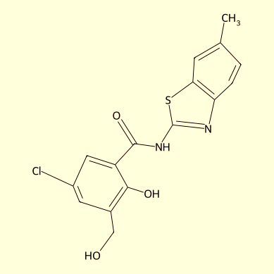 Cc1ccc2nc(NC(=O)c3cc(Cl)cc(CO)c3O)sc2c1